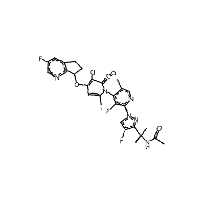 CC(=O)NC(C)(C)c1nn(-c2ncc(C)c(N3C(=C=O)C(Cl)=C(OC4CCc5cc(F)cnc54)C=C3C)c2F)cc1F